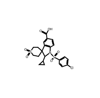 O=C(O)c1ccc2c(c1)C1(CCS(=O)(=O)CC1)C(C1CC1)N2S(=O)(=O)c1ccc(Cl)cc1